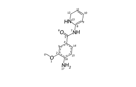 COc1cc(C(=O)NC2=CC=CCN2)ccc1N